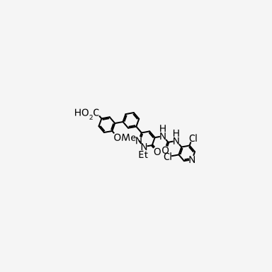 CCn1nc(-c2cccc(-c3cc(C(=O)O)ccc3OC)c2)cc(NC(=O)Nc2c(Cl)cncc2Cl)c1=O